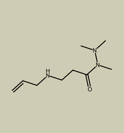 C=CCNCCC(=O)N(C)N(C)C